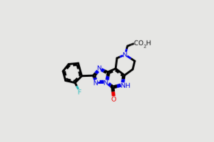 O=C(O)CN1CCc2[nH]c(=O)n3nc(-c4ccccc4F)nc3c2C1